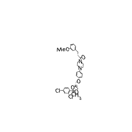 COc1cccc(CCC(=O)N2CCN(c3ccc(OC[C@@H]4CO[C@](C)(c5ccc(Cl)cc5Cl)O4)cc3)CC2)c1